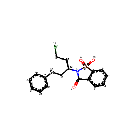 O=C1c2ccccc2S(=O)(=O)N1C(CCBr)C[Se]c1ccccc1